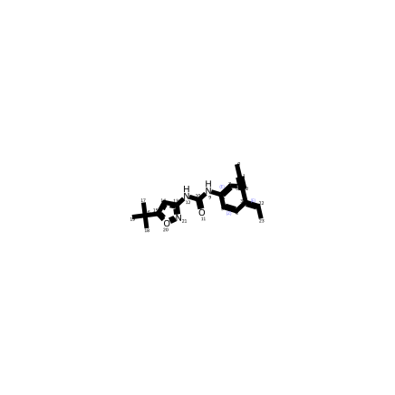 CC#CC(/C=C\C(=C/C)NC(=O)Nc1cc(C(C)(C)C)on1)=C/C